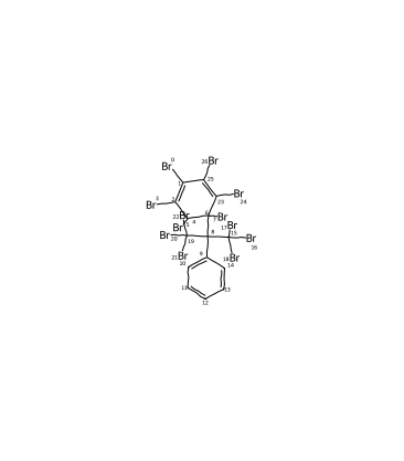 BrC1=C(Br)C(Br)C(Br)(C(c2ccccc2)(C(Br)(Br)Br)C(Br)(Br)Br)C(Br)=C1Br